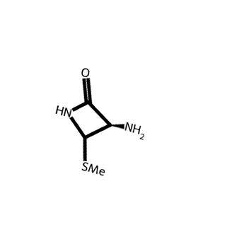 CSC1NC(=O)[C@H]1N